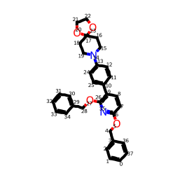 c1ccc(COc2ccc(-c3ccc(N4CCC5(CC4)OCCO5)cc3)c(OCc3ccccc3)n2)cc1